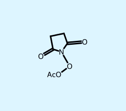 CC(=O)OON1C(=O)CCC1=O